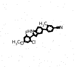 COc1cc(F)c(-c2cc3cc(-c4ccc(C#N)cc4C)ccc3[nH]2)c(Cl)c1